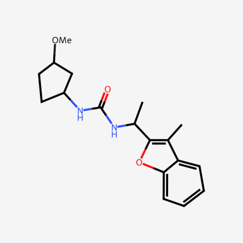 COC1CCC(NC(=O)NC(C)c2oc3ccccc3c2C)C1